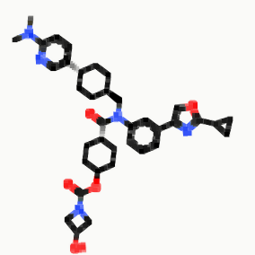 CN(C)c1ccc([C@H]2CC[C@H](CN(c3cccc(-c4coc(C5CC5)n4)c3)C(=O)[C@H]3CC[C@H](OC(=O)N4CC(O)C4)CC3)CC2)cn1